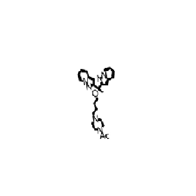 CC(=O)N1CCN(CCCCOC(C)(c2cc3ccccn3n2)c2cc3ccccn3n2)CC1